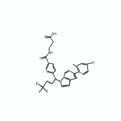 Cc1cc(Cl)ccc1-c1ccc2c(ccn2C(CCC(F)(F)F)c2ccc(C(=O)NCCC(=O)O)cc2)c1